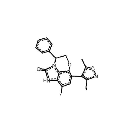 Cc1noc(C)c1-c1cc(C)c2[nH]c(=O)n3c2c1OCC3c1ccccc1